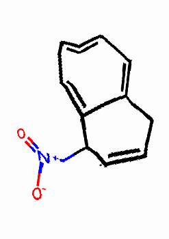 O=[N+]([O-])C1[C]=CCc2ccccc21